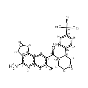 Nc1nc2cc(F)c(C(=O)N3CCOCC3c3ccc(C(F)(F)F)cn3)cc2c2c1COC2